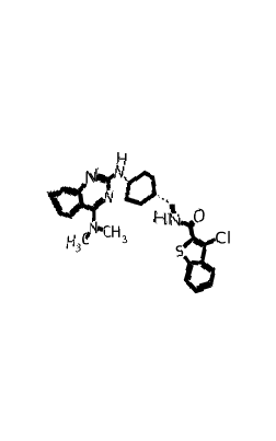 CN(C)c1nc(N[C@H]2CC[C@@H](CNC(=O)c3sc4ccccc4c3Cl)CC2)nc2ccccc12